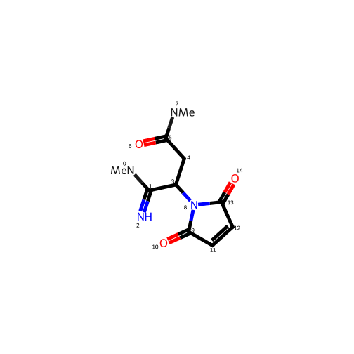 CNC(=N)C(CC(=O)NC)N1C(=O)C=CC1=O